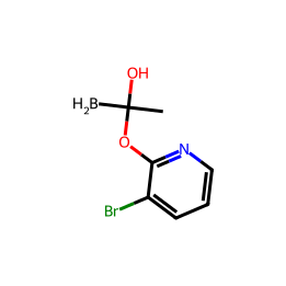 BC(C)(O)Oc1ncccc1Br